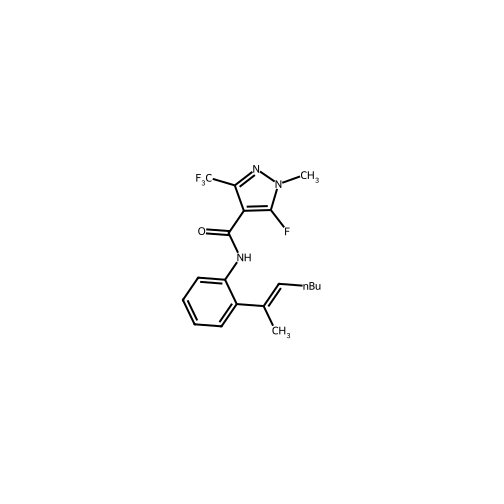 CCCCC=C(C)c1ccccc1NC(=O)c1c(C(F)(F)F)nn(C)c1F